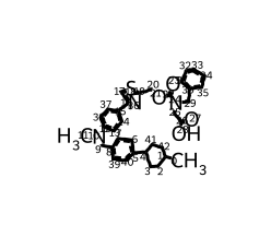 CC1CCC(c2ccc(CN(C)c3ccc(-c4csc(COC(=O)N(CC(=O)O)Cc5ccccc5)n4)cc3)cc2)CC1